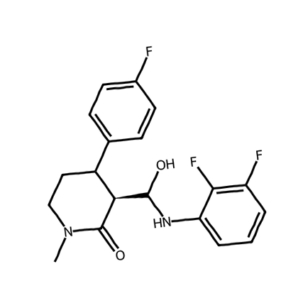 CN1CCC(c2ccc(F)cc2)[C@@H](C(O)Nc2cccc(F)c2F)C1=O